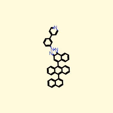 c1cc(-c2ccncc2)cc(-n2nc3cc(-c4c5ccccc5c(-c5cccc6ccccc56)c5ccccc45)c4ccccc4c3n2)c1